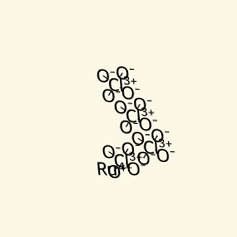 [O-][Cl+3]([O-])([O-])[O-].[O-][Cl+3]([O-])([O-])[O-].[O-][Cl+3]([O-])([O-])[O-].[O-][Cl+3]([O-])([O-])[O-].[Ru+4]